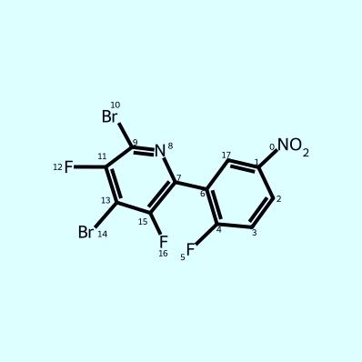 O=[N+]([O-])c1ccc(F)c(-c2nc(Br)c(F)c(Br)c2F)c1